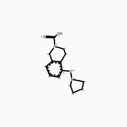 O=C(O)N1CCc2c(cccc2ON2CCCC2)C1